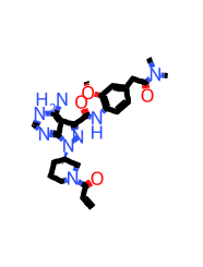 C=CC(=O)N1CCC[C@@H](n2nc(C(=O)Nc3ccc(CC(=O)N(C)C)cc3OC)c3c(N)ncnc32)C1